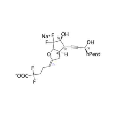 CCCCC[C@H](O)C#C[C@@H]1[C@H]2C/C(=C/CCC(F)(F)C(=O)[O-])OC2C(F)(F)[C@H]1O.[Na+]